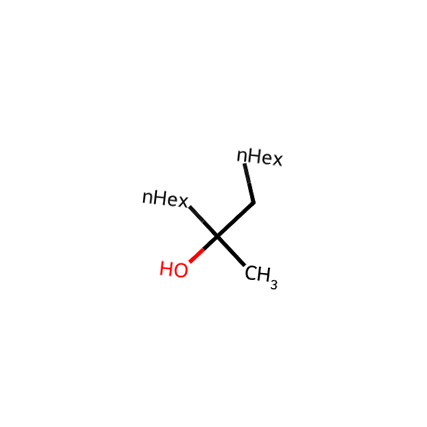 CCCCCCCC(C)(O)CCCCCC